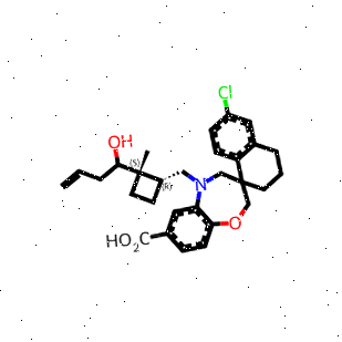 C=CCC(O)[C@@]1(C)CC[C@H]1CN1CC2(CCCc3cc(Cl)ccc32)COc2ccc(C(=O)O)cc21